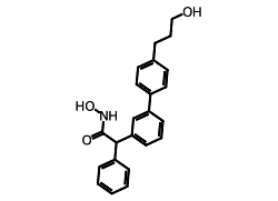 O=C(NO)C(c1ccccc1)c1cccc(-c2ccc(CCCO)cc2)c1